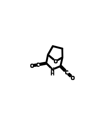 O=C=C1NC(=C=O)C2CCC1O2